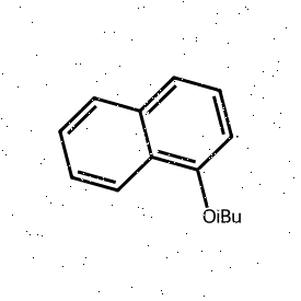 CC(C)COc1[c]ccc2ccccc12